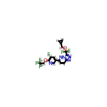 Fc1cc(-c2ccc3nnc(C(F)(F)OCC4CC4)n3n2)cnc1OCC(F)(F)F